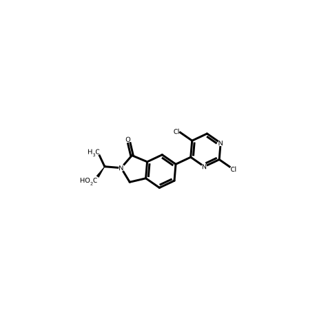 C[C@H](C(=O)O)N1Cc2ccc(-c3nc(Cl)ncc3Cl)cc2C1=O